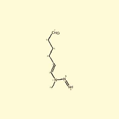 CN(/C=C/CCCC=O)N=N